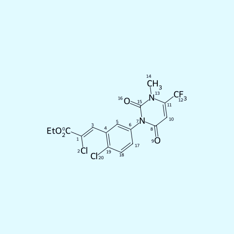 CCOC(=O)/C(Cl)=C/c1cc(-n2c(=O)cc(C(F)(F)F)n(C)c2=O)ccc1Cl